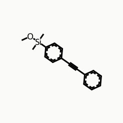 CO[Si](C)(C)c1ccc(C#Cc2ccccc2)cc1